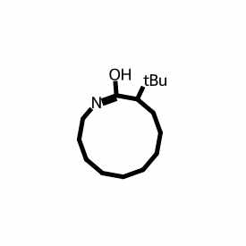 CC(C)(C)C1CCCCCCCCC/N=C\1O